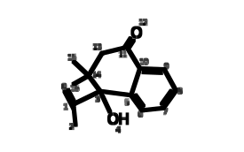 C=C(C)C1(O)c2ccccc2C(=O)CC1(C)C